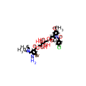 CCN(CC)Cc1cc(C(=O)OC[C@@H](O)[C@@H](O)[C@H](O)[C@H](O)COC(=O)Cc2c(C)n(C(=O)c3ccc(Cl)cc3)c3ccc(OC)cc23)cc(Br)c1N